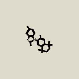 Cc1ccc2c(c1)nc(C)n2-c1cc2c(cc1C)C(C)(C)CCC2(C)C